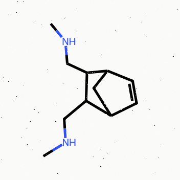 CNCC1C2C=CC(C2)C1CNC